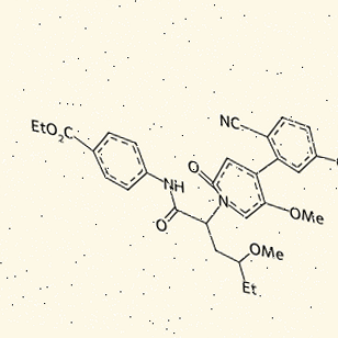 CCOC(=O)c1ccc(NC(=O)C(CC(CC)OC)n2cc(OC)c(-c3cc(Cl)ccc3C#N)cc2=O)cc1